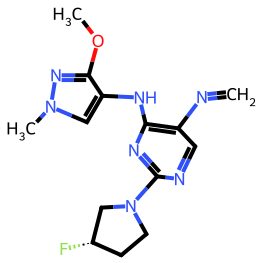 C=Nc1cnc(N2CC[C@H](F)C2)nc1Nc1cn(C)nc1OC